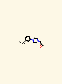 COc1cccc(N2CCN(CC3CO3)CC2)c1